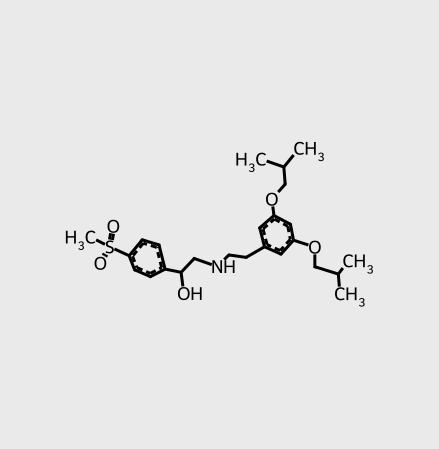 CC(C)COc1cc(CCNCC(O)c2ccc(S(C)(=O)=O)cc2)cc(OCC(C)C)c1